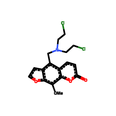 COc1c2occc2c(CN(CCCl)CCCl)c2ccc(=O)oc12